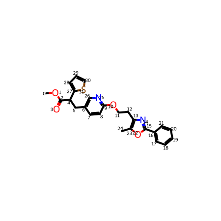 COC(=O)C(Cc1ccc(OCCc2nc(-c3ccccc3)oc2C)nc1)c1cccs1